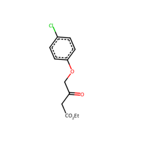 CCOC(=O)CC(=O)COc1ccc(Cl)cc1